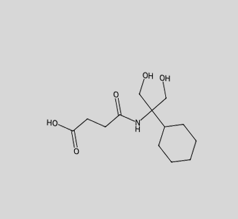 O=C(O)CCC(=O)NC(CO)(CO)C1CCCCC1